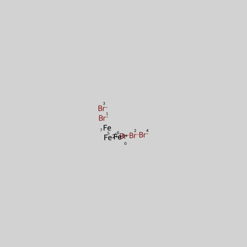 [Br-].[Br-].[Br-].[Br-].[Br-].[Fe+2].[Fe+3].[Fe]